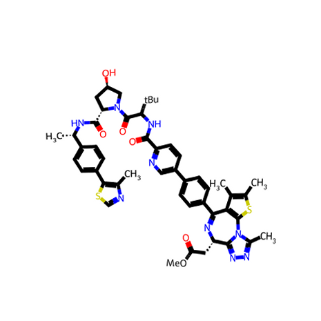 COC(=O)C[C@@H]1N=C(c2ccc(-c3ccc(C(=O)NC(C(=O)N4C[C@H](O)C[C@H]4C(=O)N[C@@H](C)c4ccc(-c5scnc5C)cc4)C(C)(C)C)nc3)cc2)c2c(sc(C)c2C)-n2c(C)nnc21